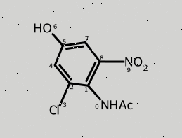 CC(=O)Nc1c(Cl)cc(O)cc1[N+](=O)[O-]